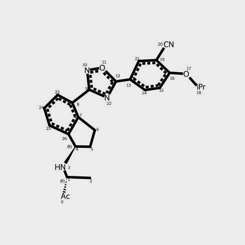 CC(=O)[C@@H](C)N[C@@H]1CCc2c(-c3noc(-c4ccc(OC(C)C)c(C#N)c4)n3)cccc21